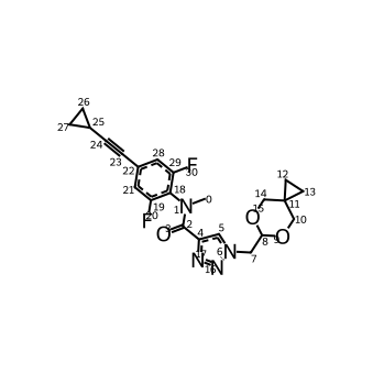 CN(C(=O)c1cn(CC2OCC3(CC3)CO2)nn1)c1c(F)cc(C#CC2CC2)cc1F